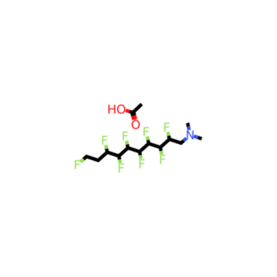 CC(=O)O.CN(C)CC(F)C(F)C(F)C(F)C(F)C(F)C(F)CCF